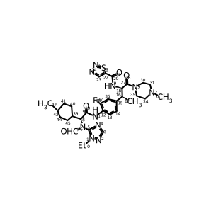 CCn1ncnc1N(C=O)[C@H](C(=O)Nc1ccc([C@H](C)[C@@H](NC(=O)c2cnns2)C(=O)N2CCN(C)CC2)cc1F)C1CCC(C)CC1